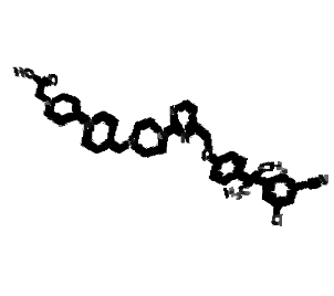 CC(C)(c1ccc(OCc2ccnc(N3CCN(CC4CCN(C5CCN(CC(=O)O)CC5)CC4)CC3)n2)cc1)c1cc(Cl)cc(C#N)c1